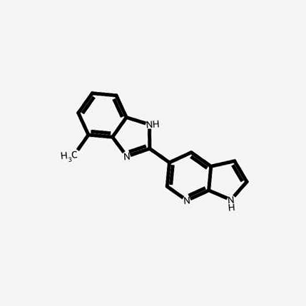 Cc1cccc2[nH]c(-c3cnc4[nH]ccc4c3)nc12